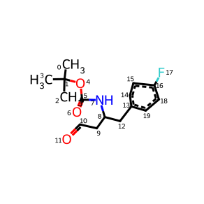 CC(C)(C)OC(=O)NC(CC=O)Cc1ccc(F)cc1